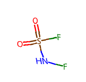 O=S(=O)(F)NF